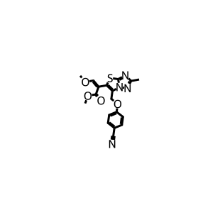 COC=C(C(=O)OC)c1sc2nc(C)nn2c1COc1ccc(C#N)cc1